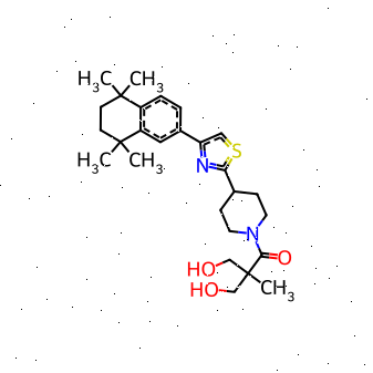 CC(CO)(CO)C(=O)N1CCC(c2nc(-c3ccc4c(c3)C(C)(C)CCC4(C)C)cs2)CC1